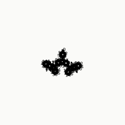 Cc1ccc(-n2c3ccc(-n4c5ccccc5c5nc6ccccc6nc54)cc3c3cc(-n4c5ccccc5c5nc6ccccc6nc54)ccc32)cc1